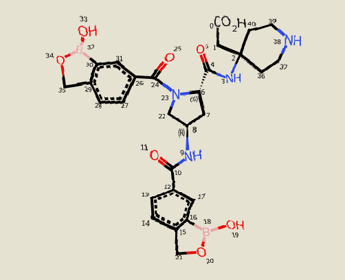 O=C(O)CC1(NC(=O)[C@@H]2C[C@@H](NC(=O)c3ccc4c(c3)B(O)OC4)CN2C(=O)c2ccc3c(c2)B(O)OC3)CCNCC1